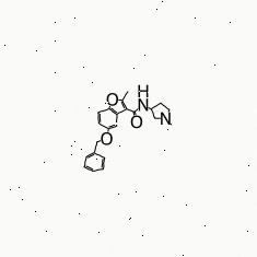 Cc1oc2ccc(OCc3ccccc3)cc2c1C(=O)NC1CCN(C)C1